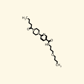 CCCCOCCCNC(=O)c1ccc(N2CCN(C(=O)CCCC)CC2)nc1